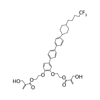 C=C(CO)C(=O)OCCOc1ccc(-c2ccc(-c3ccc(C4CCC(CCCCC(F)(F)F)CC4)cc3)cc2)cc1OCCOC(=O)C(=C)CO